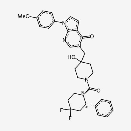 COc1ccc(-n2ccc3c(=O)n(CC4(O)CCN(C(=O)[C@@H]5CCC(F)(F)C[C@H]5c5ccccc5)CC4)cnc32)cc1